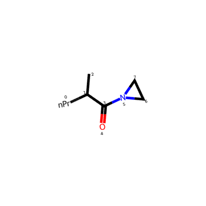 CCCC(C)C(=O)N1CC1